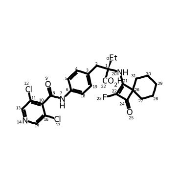 CC[C@@](Cc1ccc(NC(=O)c2c(Cl)cncc2Cl)cc1)(NC1=C(F)C(=O)C12CCCCC2)C(=O)O